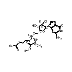 CC(C)OC(=O)[C@H](C)N[P@](=O)(OCCSC(=O)C(C)(C)C)OC[C@H]1O[C@@H](n2cnc3c(=O)[nH]c(N)nc32)[C@](F)(Cl)[C@@H]1O